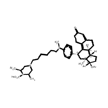 CC(=O)O[C@]1(C(C)=O)CC[C@H]2[C@@H]3CCC4=CC(=O)CCC4=C3[C@@H](c3ccc(N(C)CCCCCCN4CC(C)N(C(=O)O)C(C)C4)cc3)C[C@@]21C